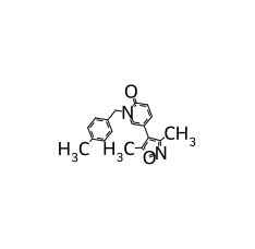 Cc1ccc(Cn2cc(-c3c(C)noc3C)ccc2=O)cc1